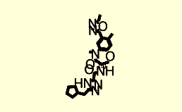 Cc1nnc(-c2cc3c(cc2C)OC[C@H](NC(=O)c2nnc(CC4CCCC4)[nH]2)C(=O)N3C)o1